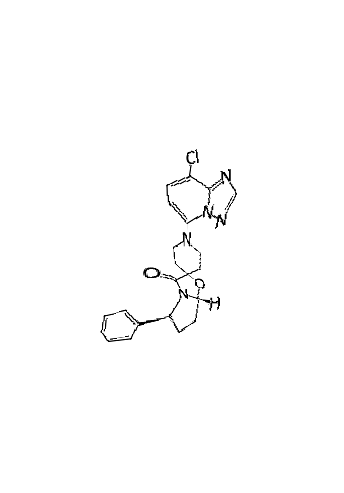 O=C1N2[C@@H](CC[C@H]2c2ccccc2)OC12CCN(c1ccc(Cl)c3ncnn13)CC2